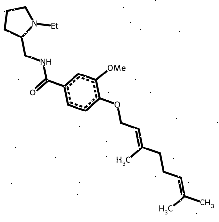 CCN1CCCC1CNC(=O)c1ccc(OC/C=C(\C)CCC=C(C)C)c(OC)c1